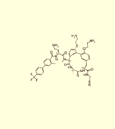 Cc1cc(-c2ccc(C(F)(F)F)cc2)ccc1C(=O)N[C@@H](CCN)C(=O)N(C)[C@@H]1C(=O)N[C@@H](C)C(=O)N[C@H](C(=O)NCC#N)Cc2ccc(OCCN)c(c2)-c2cc1ccc2OCCN